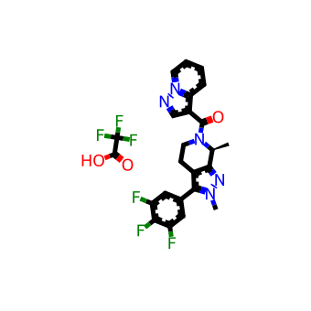 C[C@H]1c2nn(C)c(-c3cc(F)c(F)c(F)c3)c2CCN1C(=O)c1cnn2ccccc12.O=C(O)C(F)(F)F